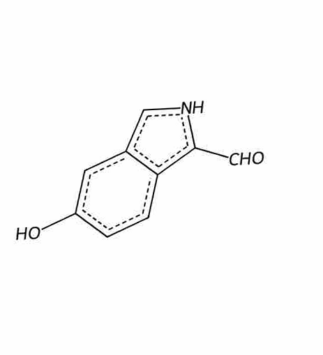 O=Cc1[nH]cc2cc(O)ccc12